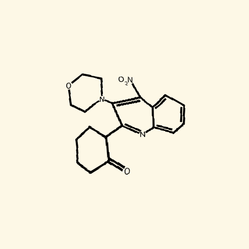 O=C1CCCCC1c1nc2ccccc2c([N+](=O)[O-])c1N1CCOCC1